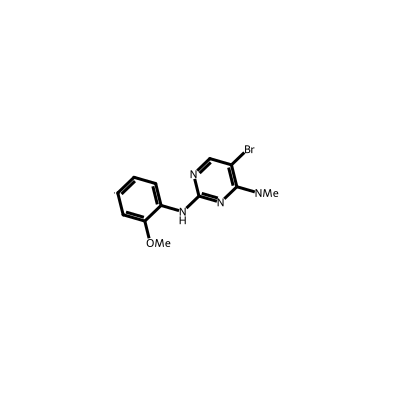 CNc1nc(Nc2cc[c]cc2OC)ncc1Br